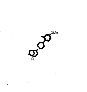 COc1ccc(C2CCN(C3CC[C@H]4CCC3C4)CC2)c(C)c1